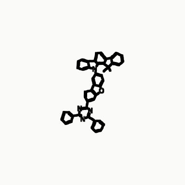 CC1(C)c2ccccc2-c2ccc3c4ccccc4n(-c4ccc5oc6cc(-c7nc(-c8ccccc8)nc(-c8ccccc8)n7)ccc6c5c4)c3c21